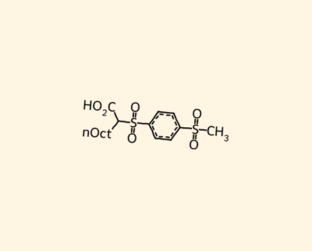 CCCCCCCCC(C(=O)O)S(=O)(=O)c1ccc(S(C)(=O)=O)cc1